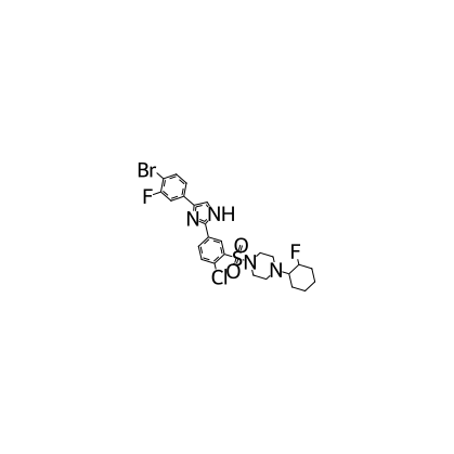 O=S(=O)(c1cc(-c2nc(-c3ccc(Br)c(F)c3)c[nH]2)ccc1Cl)N1CCN(C2CCCCC2F)CC1